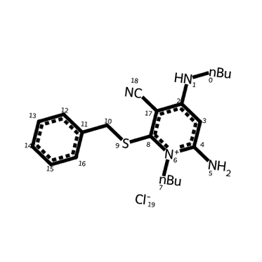 CCCCNc1cc(N)[n+](CCCC)c(SCc2ccccc2)c1C#N.[Cl-]